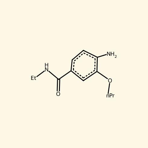 CCCOc1cc(C(=O)NCC)ccc1N